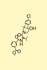 COC(=O)c1cccc(C(=O)N[C@@H](C(=O)N2CCC(O)(c3ccc(Cl)cc3)C(C)(C)C2)C(C)C)c1